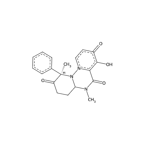 CN1C(=O)c2c(O)c(=O)ccn2N2C1CCC(=O)[C@@]2(C)c1ccccc1